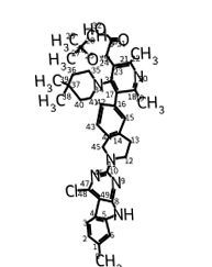 Cc1ccc2c(c1)[nH]c1nc(N3CCc4cc(-c5c(C)nc(C)c([C@H](OC(C)(C)C)C(=O)O)c5N5CCC(C)(C)CC5)ccc4C3)nc(Cl)c12